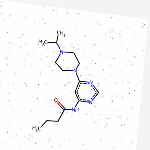 CCCC(=O)Nc1cc(N2CCN(C(C)C)CC2)ncn1